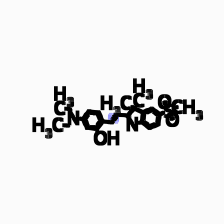 CCN(CC)c1ccc(/C=C/C2=Nc3ccc(S(C)(=O)=O)cc3C2(C)C)c(O)c1